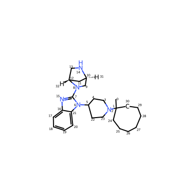 CC1(N2CCC(n3c(N4C[C@H]5C[C@H]4CN5)nc4ccccc43)CC2)CCCCCCC1